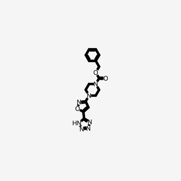 O=C(OCc1ccccc1)N1CCN(c2cc(-c3nnn[nH]3)on2)CC1